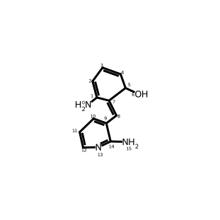 NC1=CC=CC(O)C1=Cc1cccnc1N